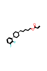 C=CC(=O)OCCCCC[C@H]1CC[C@H](c2cccc(F)c2F)CC1